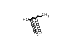 CCCCCCO.O.O.O.O.O.O.O